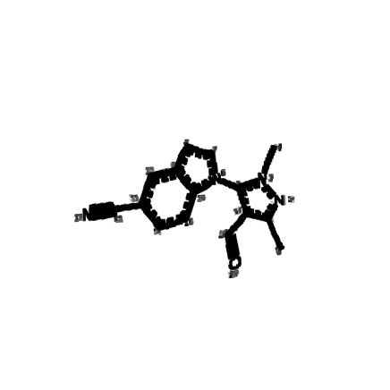 Cc1nn(C)c(-n2ccc3cc(C#N)ccc32)c1C=O